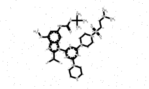 COc1cc(NC(=O)OC(C)(C)C)cc2c1nc(C(F)F)n2-c1nc(N2CCOCC2)nc(N2CCN(S(=O)(=O)CCN(C)C)CC2)n1